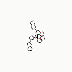 c1ccc(-c2ccccc2N(c2cccc(-c3ccc4ccccc4c3)c2)c2cc(-c3ccc4ccccc4c3)ccc2-c2ccccc2)cc1